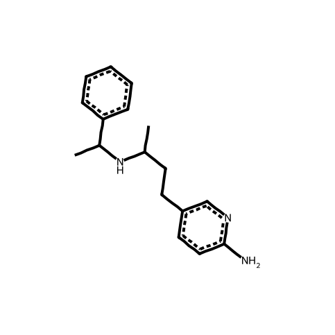 CC(CCc1ccc(N)nc1)NC(C)c1ccccc1